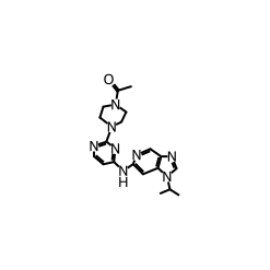 CC(=O)N1CCN(c2nccc(Nc3cc4c(cn3)ncn4C(C)C)n2)CC1